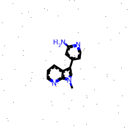 Cn1cc(-c2ccnc(N)c2)c2cccnc21